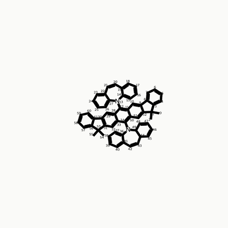 CC1(C)c2ccccc2-c2cc3c(N4c5ccccc5C=Cc5ccccc54)c4cc5c(cc4c(N4c6ccccc6C=CC6C=CC=CC64)c3cc21)C(C)(C)c1ccccc1-5